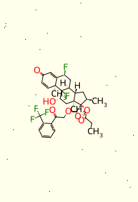 CCC(=O)O[C@]1(C(=O)OCC(=O)c2ccccc2C(F)(F)F)[C@H](C)C[C@H]2[C@@H]3C[C@H](F)C4=CC(=O)C=C[C@]4(C)[C@@]3(F)[C@@H](O)C[C@@]21C